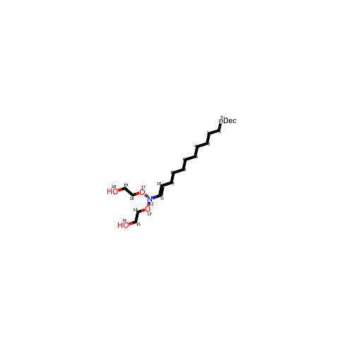 CCCCCCCCCCCCCCCCCCCC=CN(OCCO)OCCO